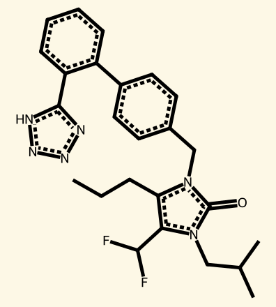 CCCc1c(C(F)F)n(CC(C)C)c(=O)n1Cc1ccc(-c2ccccc2-c2nnn[nH]2)cc1